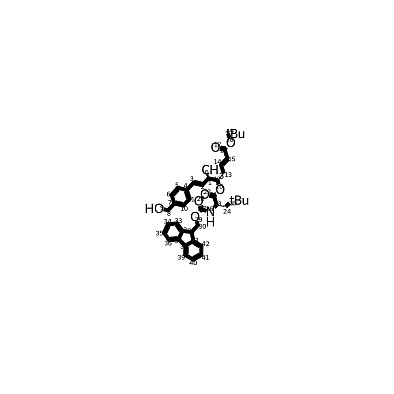 C[C@H](C=Cc1ccc(CO)cc1)[C@H](CC=CC(=O)OC(C)(C)C)OC(=O)[C@H](CC(C)(C)C)NC(=O)OCC1c2ccccc2-c2ccccc21